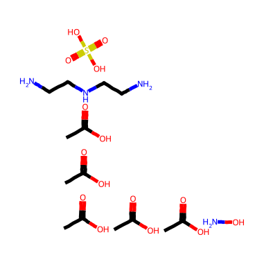 CC(=O)O.CC(=O)O.CC(=O)O.CC(=O)O.CC(=O)O.NCCNCCN.NO.O=S(=O)(O)O